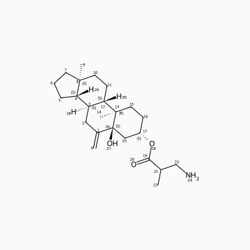 C=C1C[C@H]2[C@@H]3CCC[C@@]3(C)CC[C@@H]2[C@@]2(C)CC[C@H](OC(=O)C(C)CN)C[C@]12O